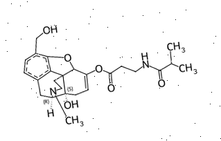 CC(C)C(=O)NCCC(=O)OC1=CC[C@@]2(O)[C@H]3Cc4ccc(CO)c5c4C2(CCN3C)C1O5